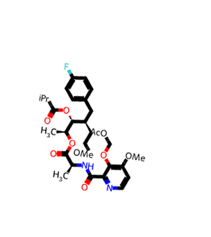 COCC[C@H](Cc1ccc(F)cc1)[C@@H](OC(=O)C(C)C)[C@H](C)OC(=O)[C@H](C)NC(=O)c1nccc(OC)c1OCOC(C)=O